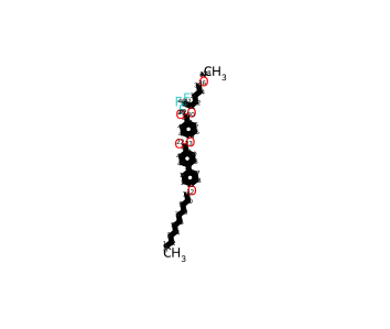 CCCCCCCCCCCCOc1ccc(-c2ccc(C(=O)Oc3ccc(C(=O)OC(CCCCOCC)C(F)(F)F)cc3)cc2)cc1